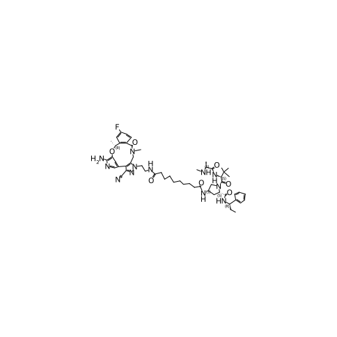 CC[C@@H](NC(=O)[C@@H]1C[C@H](NC(=O)CCCCCCCCC(=O)NCCn2nc(C#N)c3c2CN(C)C(=O)c2ccc(F)cc2[C@@H](C)Oc2cc-3cnc2N)CN1C(=O)[C@@H](NC(=O)[C@H](C)NC)C(C)(C)C)c1ccccc1